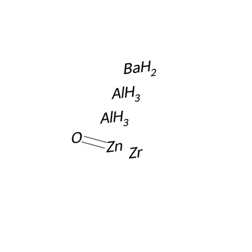 [AlH3].[AlH3].[BaH2].[O]=[Zn].[Zr]